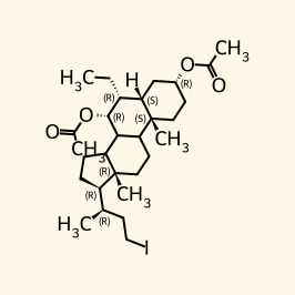 CC[C@H]1[C@@H](OC(C)=O)C2C3CC[C@H]([C@H](C)CCI)[C@@]3(C)CCC2[C@@]2(C)CC[C@@H](OC(C)=O)C[C@@H]12